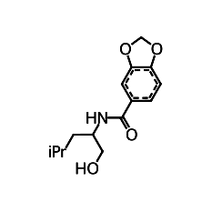 CC(C)CC(CO)NC(=O)c1ccc2c(c1)OCO2